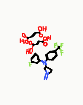 Fc1cccc(N(c2ccc(C(F)(F)F)cc2)C2CCNC2)c1.O=C(O)C=CC(=O)O.O=C(O)C=CC(=O)O